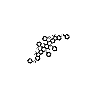 Cc1c2c(c(C)c3c1B1c4ccccc4Oc4c1c(cc1c4C(C)(C)c4cc(Oc5ccccc5)ccc4-1)N3c1ccccc1)N(c1ccccc1)c1cc3c(c4c1B2c1ccccc1O4)C(C)(C)c1cc(Oc2ccccc2)ccc1-3